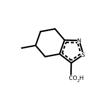 CC1CCc2nsc(C(=O)O)c2C1